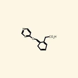 O=C(O)CC1=CC=CCC1=COc1ccncn1